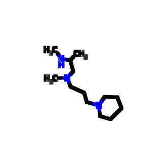 CNC(C)CN(C)CCCN1CCCCC1